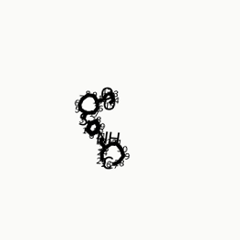 c1cc(SC2CCCCCC(C3OCCO3)CC2)ccc1NCC1CCCCCCCCC1